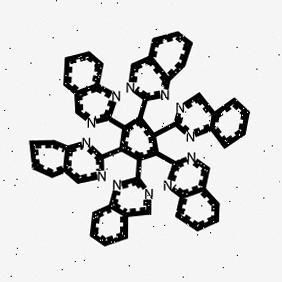 c1ccc2nc(-c3c(-c4ncc5ccccc5n4)c(-c4ncc5ccccc5n4)c(-c4ncc5ccccc5n4)c(-c4ncc5ccccc5n4)c3-c3ncc4ccccc4n3)ncc2c1